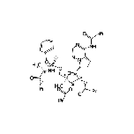 CC(C)OC(=O)[C@H](C)N[P@](=O)(OC[C@@]1(C)O[C@@H](C2CC=C3C(NC(=O)C(C)C)=NC=NN32)[C@H](OC(=O)C(C)C)[C@@H]1OC(=O)C(C)C)Oc1ccccc1